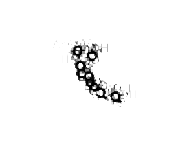 C=C1CO[C@@]2(O[C@H]3C[C@H]4[C@@H]5CC=C6C[C@@H](O)C[C@@H](O[C@@H]7OC[C@H](O)[C@H](O)[C@H]7O[C@@H]7O[C@@H](C)[C@H](OC(C)=O)[C@@H](OC(C)=O)[C@H]7OC(C)=O)[C@]6(C)[C@H]5CC[C@]4(C)[C@H]3[C@@H]2C)[C@@H](O)[C@H]1O[C@@H]1O[C@H](C)C(=O)[C@H](O)[C@H]1O